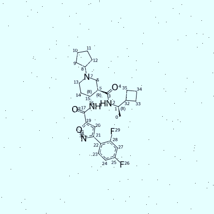 C[C@@H](NC(=O)[C@@H]1CN(C2CCCC2)CC[C@H]1NC(=O)c1cc(-c2ccc(F)cc2F)no1)C1CCC1